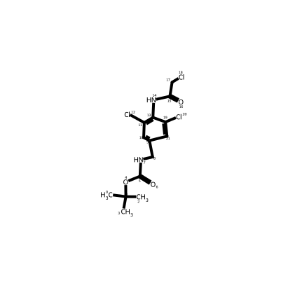 CC(C)(C)OC(=O)NCc1cc(Cl)c(NC(=O)CCl)c(Cl)c1